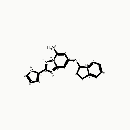 Nc1cc(NC2CCc3ccccc32)cc2nc(-c3ccco3)nn12